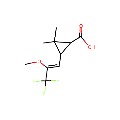 COC(=CC1C(C(=O)O)C1(C)C)C(F)(F)F